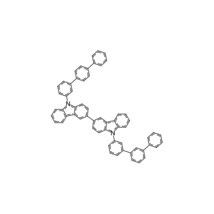 c1ccc(-c2ccc(-c3cccc(-n4c5ccccc5c5cc(-c6ccc7c(c6)c6ccccc6n7-c6cccc(-c7cccc(-c8ccccc8)c7)c6)ccc54)c3)cc2)cc1